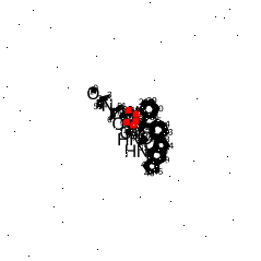 COC1CN([C@@H]2COc3c([S@](=O)(=NC(c4ccccc4)(c4ccccc4)c4ccccc4)NC(=O)Nc4c5c(cc6c4CCC6)CCC5)cnn3C2)C1